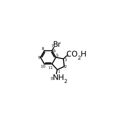 NC1CC(C(=O)O)c2c(Br)cccc21